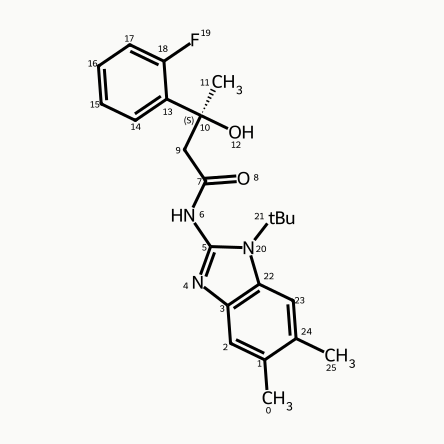 Cc1cc2nc(NC(=O)C[C@](C)(O)c3ccccc3F)n(C(C)(C)C)c2cc1C